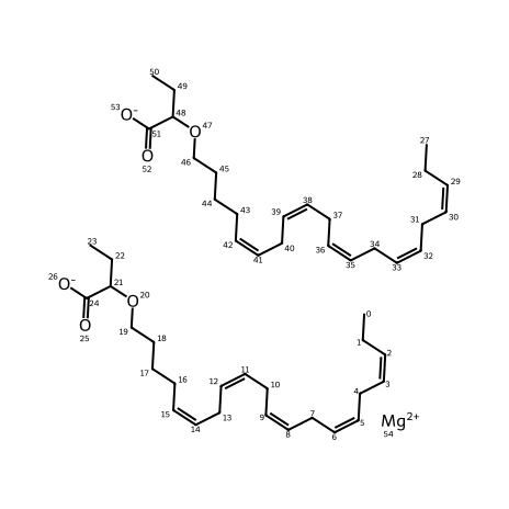 CC/C=C\C/C=C\C/C=C\C/C=C\C/C=C\CCCCOC(CC)C(=O)[O-].CC/C=C\C/C=C\C/C=C\C/C=C\C/C=C\CCCCOC(CC)C(=O)[O-].[Mg+2]